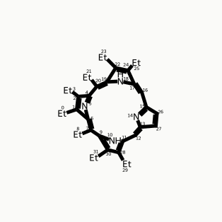 CCC1=C(CC)c2nc1c(CC)c1[nH]c(cc3nc(cc4[nH]c(c2CC)c(CC)c4CC)C=C3)c(CC)c1CC